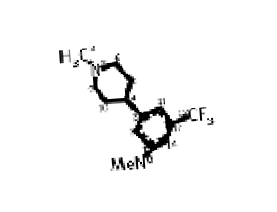 CNc1cc(C2CCN(C)CC2)cc(C(F)(F)F)c1